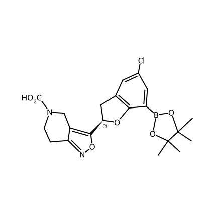 CC1(C)OB(c2cc(Cl)cc3c2O[C@@H](c2onc4c2CN(C(=O)O)CC4)C3)OC1(C)C